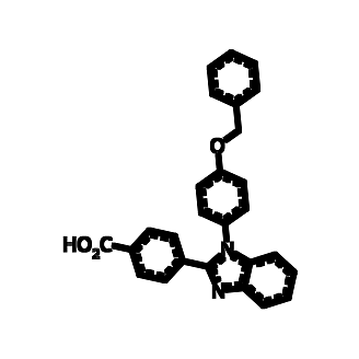 O=C(O)c1ccc(-c2nc3ccccc3n2-c2ccc(OCc3ccccc3)cc2)cc1